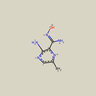 Bc1cnc(N)c(/C(N)=N/O)n1